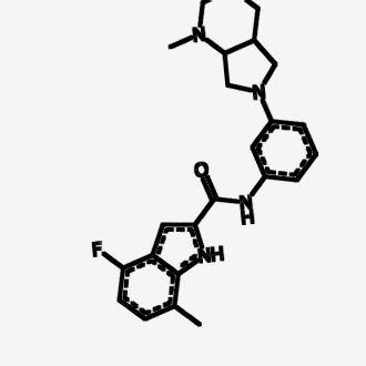 Cc1ccc(F)c2cc(C(=O)Nc3cccc(N4CC5CCCN(C)C5C4)c3)[nH]c12